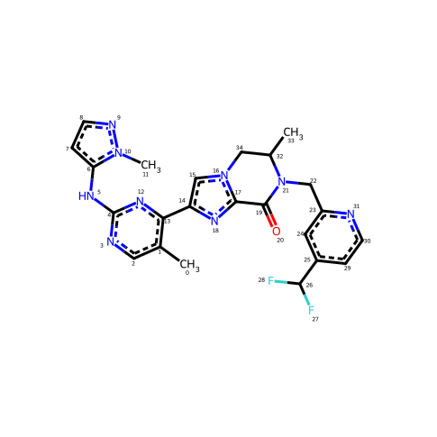 Cc1cnc(Nc2ccnn2C)nc1-c1cn2c(n1)C(=O)N(Cc1cc(C(F)F)ccn1)C(C)C2